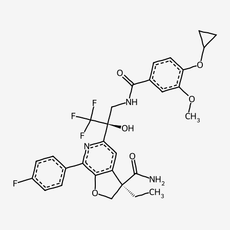 CC[C@]1(C(N)=O)COc2c1cc([C@@](O)(CNC(=O)c1ccc(OC3CC3)c(OC)c1)C(F)(F)F)nc2-c1ccc(F)cc1